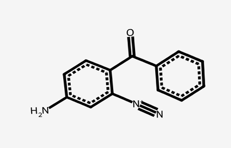 N#[N+]c1cc(N)ccc1C(=O)c1ccccc1